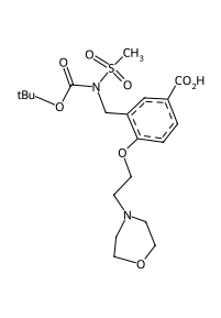 CC(C)(C)OC(=O)N(Cc1cc(C(=O)O)ccc1OCCN1CCOCC1)S(C)(=O)=O